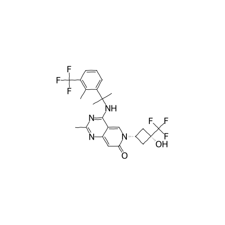 Cc1nc(NC(C)(C)c2cccc(C(F)(F)F)c2C)c2cn([C@H]3C[C@](O)(C(F)(F)F)C3)c(=O)cc2n1